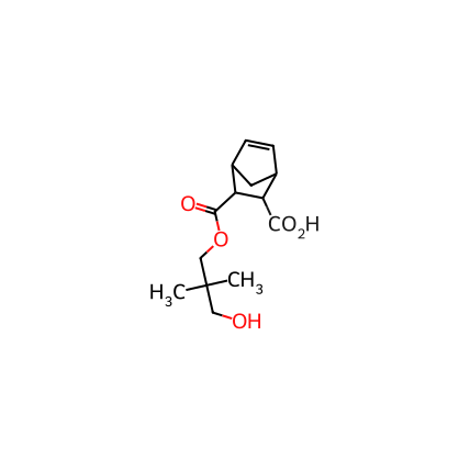 CC(C)(CO)COC(=O)C1C2C=CC(C2)C1C(=O)O